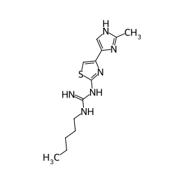 CCCCCNC(=N)Nc1nc(-c2c[nH]c(C)n2)cs1